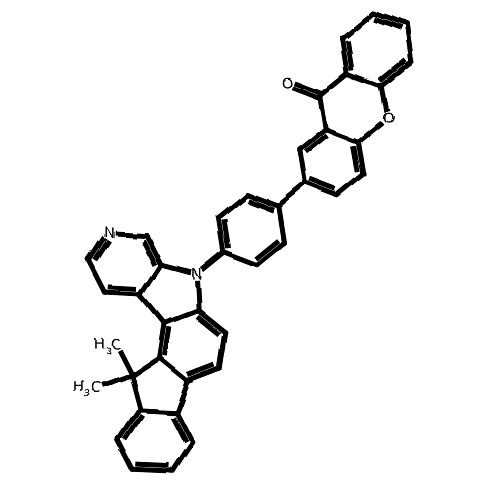 CC1(C)c2ccccc2-c2ccc3c(c21)c1ccncc1n3-c1ccc(-c2ccc3oc4ccccc4c(=O)c3c2)cc1